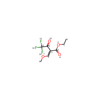 CCOC(=O)C(=COC)C(=O)C(F)(F)F